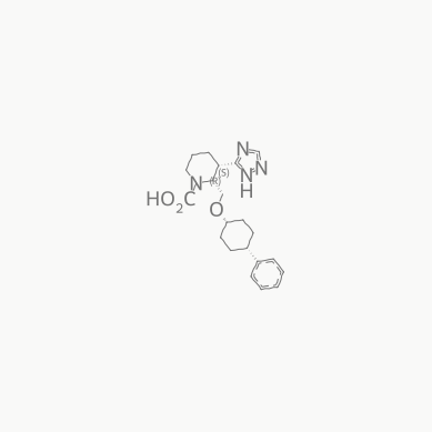 O=C(O)N1CCC[C@H](c2ncn[nH]2)[C@@H]1CO[C@H]1CC[C@@H](c2ccccc2)CC1